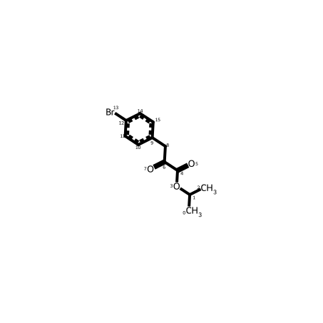 CC(C)OC(=O)C(=O)Cc1ccc(Br)cc1